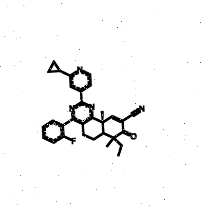 CCC1(C)C(=O)C(C#N)=C[C@@]2(C)c3nc(-c4ccnc(C5CC5)c4)nc(-c4ccccc4F)c3CCC12